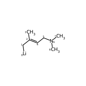 [Li][CH2]C(C)=CCN(C)C